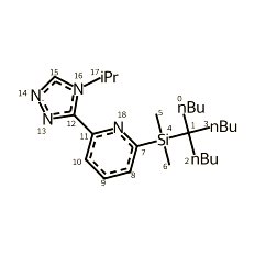 CCCCC(CCCC)(CCCC)[Si](C)(C)c1cccc(-c2nncn2C(C)C)n1